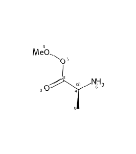 COOC(=O)[C@H](C)N